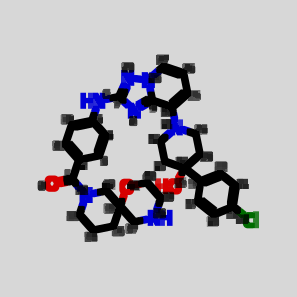 O=C(c1ccc(Nc2nc3c(N4CCC(O)(c5ccc(Cl)cc5)CC4)cccn3n2)cc1)N1CCCC2(CNCCO2)C1